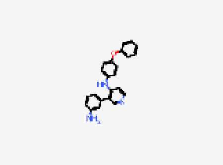 Nc1cccc(-c2cnccc2Nc2ccc(Oc3ccccc3)cc2)c1